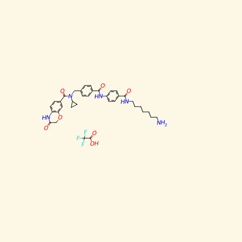 NCCCCCCCNC(=O)c1ccc(NC(=O)c2ccc(CN(C(=O)c3ccc4c(c3)OCC(=O)N4)C3CC3)cc2)cc1.O=C(O)C(F)(F)F